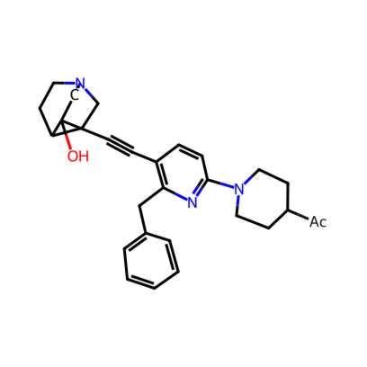 CC(=O)C1CCN(c2ccc(C#CC3(O)CN4CCC3CC4)c(Cc3ccccc3)n2)CC1